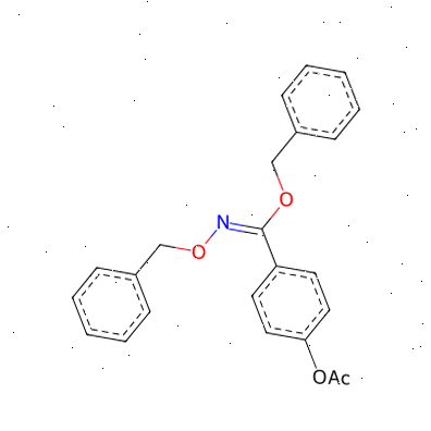 CC(=O)Oc1ccc(/C(=N\OCc2ccccc2)OCc2ccccc2)cc1